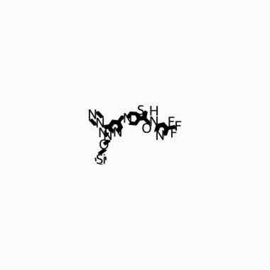 CN1CCN(c2nn(COCC[Si](C)(C)C)c3ncc(CN4CCc5c(C(=O)Nc6cncc(C(F)(F)F)c6)csc5C4)cc23)CC1